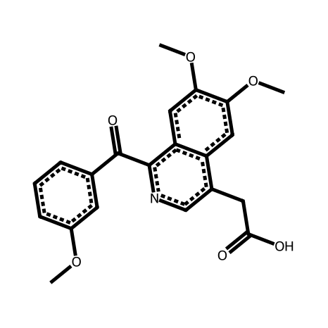 COc1cccc(C(=O)c2ncc(CC(=O)O)c3cc(OC)c(OC)cc23)c1